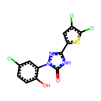 O=c1[nH]c(-c2cc(Cl)c(Cl)s2)nn1-c1cc(Cl)ccc1O